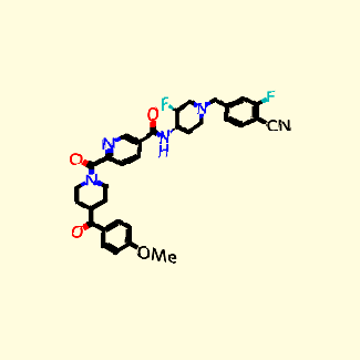 COc1ccc(C(=O)C2CCN(C(=O)c3ccc(C(=O)N[C@H]4CCN(Cc5ccc(C#N)c(F)c5)C[C@@H]4F)cn3)CC2)cc1